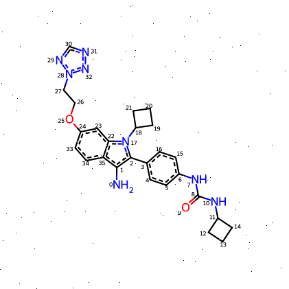 Nc1c(-c2ccc(NC(=O)NC3CCC3)cc2)n(C2CCC2)c2cc(OCCn3ncnn3)ccc12